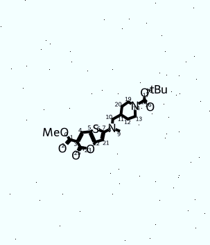 COC(=O)c1cc2sc(N(C)CC3CCN(C(=O)OC(C)(C)C)CC3)cc2oc1=O